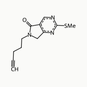 C#CCCCN1Cc2nc(SC)ncc2C1=O